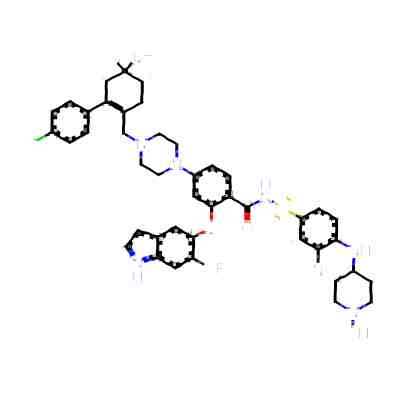 CN1CCC(Nc2ccc(S(=O)(=O)NC(=O)c3ccc(N4CCN(CC5=C(c6ccc(Cl)cc6)CC(C)(C)CC5)CC4)cc3Oc3cc4cc[nH]c4cc3C(F)(F)F)cc2[N+](=O)[O-])CC1